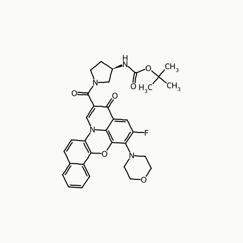 CC(C)(C)OC(=O)N[C@@H]1CCN(C(=O)c2cn3c4c(c(N5CCOCC5)c(F)cc4c2=O)Oc2c-3ccc3ccccc23)C1